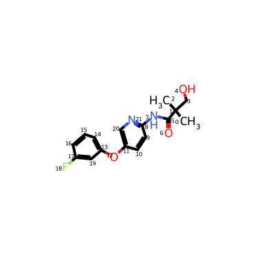 CC(C)(CO)C(=O)Nc1ccc(Oc2cccc(F)c2)cn1